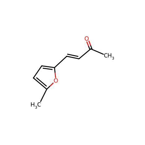 CC(=O)C=Cc1ccc(C)o1